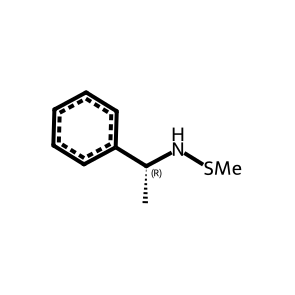 CSN[C@H](C)c1ccccc1